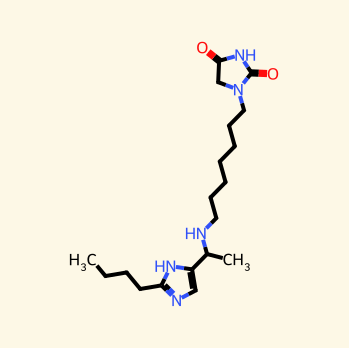 CCCCc1ncc(C(C)NCCCCCCCN2CC(=O)NC2=O)[nH]1